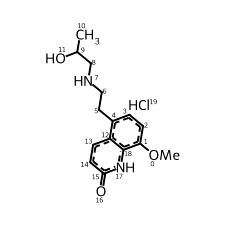 COc1ccc(CCNCC(C)O)c2ccc(=O)[nH]c12.Cl